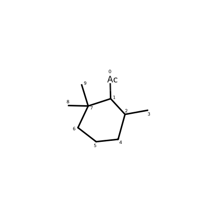 CC(=O)C1C(C)CCCC1(C)C